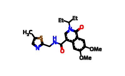 CCC(CC)n1cc(C(=O)NCc2ncc(C)s2)c2cc(OC)c(OC)cc2c1=O